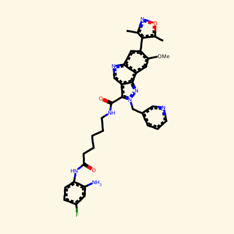 COc1cc2c(cc1-c1c(C)noc1C)ncc1c(C(=O)NCCCCCC(=O)Nc3ccc(F)cc3N)n(Cc3cccnc3)nc12